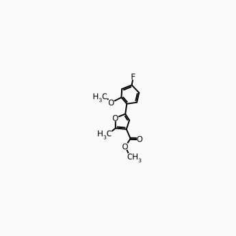 COC(=O)c1cc(-c2ccc(F)cc2OC)oc1C